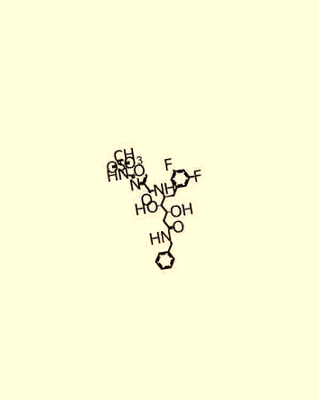 CS(=O)(=O)Nc1nc(C(=O)N[C@@H](Cc2cc(F)cc(F)c2)[C@@H](O)[C@H](O)CC(=O)NCc2ccccc2)co1